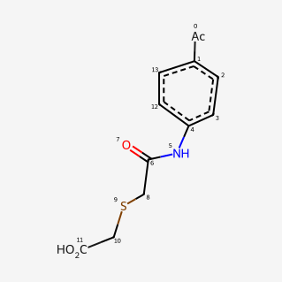 CC(=O)c1ccc(NC(=O)CSCC(=O)O)cc1